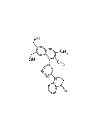 Cc1cc2cc(CO)c(CO)cc2c(-c2ccnc(N3CCC(=O)c4ccccc43)c2)c1C